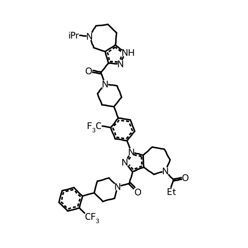 CCC(=O)N1CCCc2c(c(C(=O)N3CCC(c4ccccc4C(F)(F)F)CC3)nn2-c2ccc(C3CCN(C(=O)c4n[nH]c5c4CN(C(C)C)CCC5)CC3)c(C(F)(F)F)c2)C1